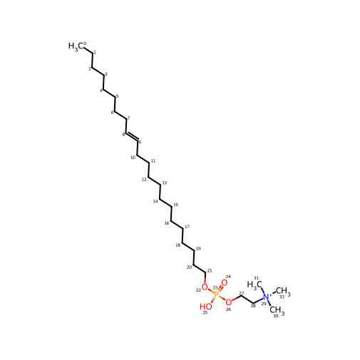 CCCCCCCCC=CCCCCCCCCCCCCOP(=O)(O)OCC[N+](C)(C)C